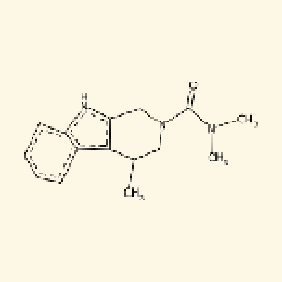 CC1CN(C(=O)N(C)C)Cc2[nH]c3ccccc3c21